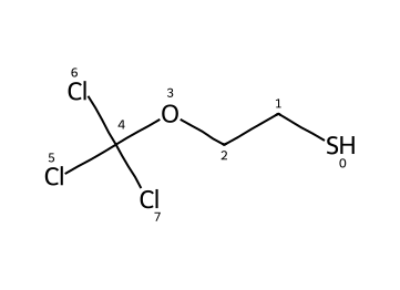 SCCOC(Cl)(Cl)Cl